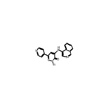 CCn1nc(-c2ccncc2)cc(Nc2cncc3ccccc23)c1=O